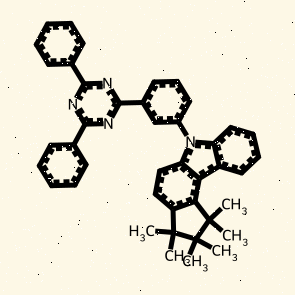 CC1(C)c2ccc3c(c2C(C)(C)C1(C)C)c1ccccc1n3-c1cccc(-c2nc(-c3ccccc3)nc(-c3ccccc3)n2)c1